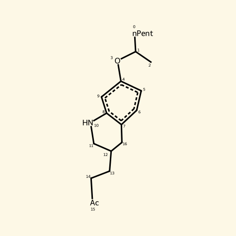 CCCCCC(C)Oc1ccc2c(c1)NCC(CCC(C)=O)C2